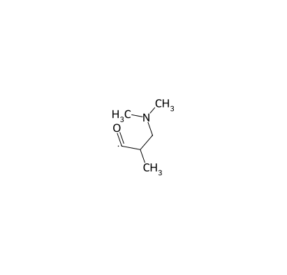 CC([C]=O)CN(C)C